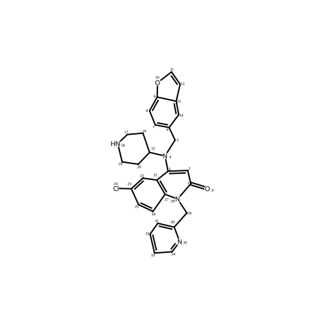 O=c1cc(N(Cc2ccc3occc3c2)C2CCNCC2)c2cc(Cl)ccc2n1Cc1ccccn1